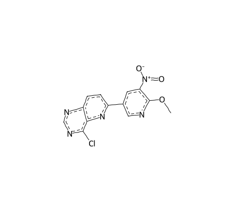 COc1ncc(-c2ccc3ncnc(Cl)c3n2)cc1[N+](=O)[O-]